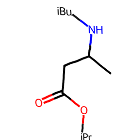 CCC(C)NC(C)CC(=O)OC(C)C